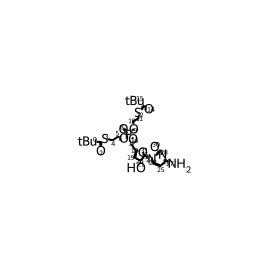 CC(C)(C)C(=O)SCCOP(=O)(OCCSC(=O)C(C)(C)C)OCC1=C[C@@H](O)C(n2ccc(N)nc2=O)O1